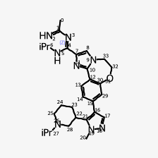 CC(=N)/N=C(\NC(C)C)c1cn2c(n1)-c1ccc(-c3cnn(C)c3C3CCCN(C(C)C)C3)cc1OCC2